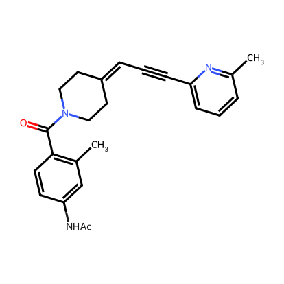 CC(=O)Nc1ccc(C(=O)N2CCC(=CC#Cc3cccc(C)n3)CC2)c(C)c1